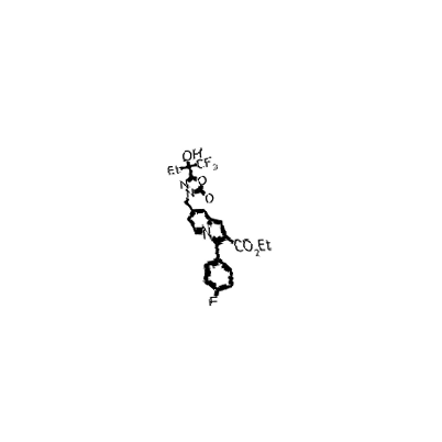 CCOC(=O)c1cc2cc(Cn3nc(C(O)(CC)C(F)(F)F)oc3=O)ccn2c1-c1ccc(F)cc1